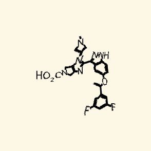 CC(Oc1ccc2[nH]nc(-c3nc4c(n3C3CN(C)C3)CN(C(=O)O)C4)c2c1)c1cc(F)cc(F)c1